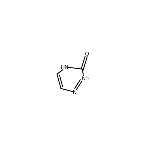 O=C1[N+]=NC=CN1